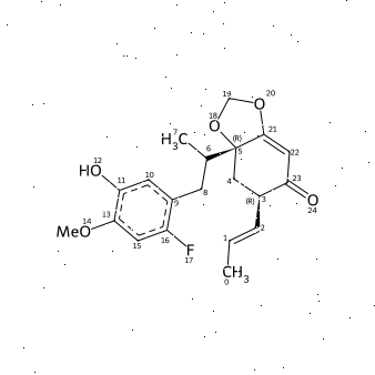 CC=C[C@H]1C[C@]2(C(C)Cc3cc(O)c(OC)cc3F)OCOC2=CC1=O